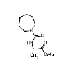 COC(=O)[C@H](C)NC(=O)N1CCCCCC1